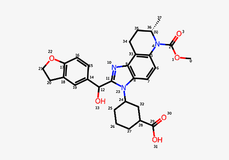 COC(=O)N1c2ccc3c(nc(C(O)c4ccc5c(c4)CCO5)n3C3CCCC(C(=O)O)C3)c2CC[C@@H]1C